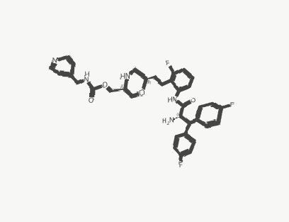 N[C@H](C(=O)Nc1cccc(F)c1CC[C@@H]1CN[C@H](COC(=O)NCc2ccncc2)CO1)C(c1ccc(F)cc1)c1ccc(F)cc1